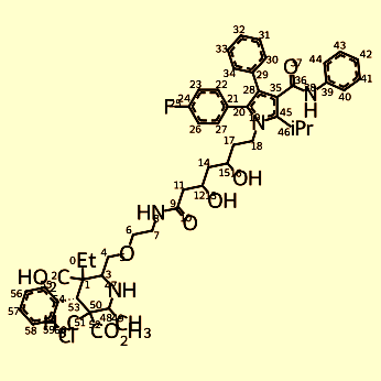 CCC1(C(=O)O)C(COCCNC(=O)CC(O)CC(O)CCn2c(-c3ccc(F)cc3)c(-c3ccccc3)c(C(=O)Nc3ccccc3)c2C(C)C)NC(C)C(C)(C(=O)O)[C@@H]1c1ccccc1Cl